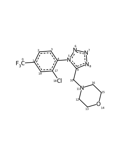 FC(F)(F)c1ccc(-n2nnnc2CN2CCOCC2)c(Cl)c1